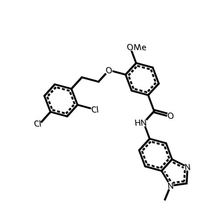 COc1ccc(C(=O)Nc2ccc3c(c2)ncn3C)cc1OCCc1ccc(Cl)cc1Cl